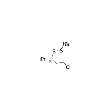 CC(C)[C@@H](CCCl)SSC(C)(C)C